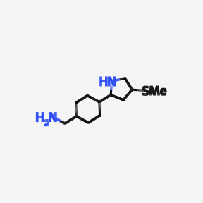 CSC1CNC(C2CCC(CN)CC2)C1